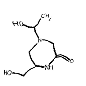 [CH2]C(O)N1CC(=O)NC(CO)C1